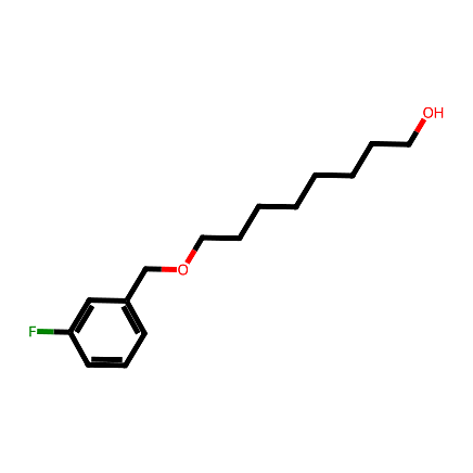 OCCCCCCCCOCc1cccc(F)c1